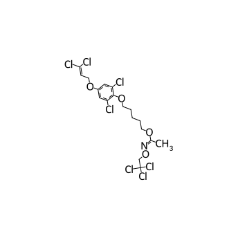 CC(=NOCC(Cl)(Cl)Cl)OCCCCCOc1c(Cl)cc(OCC=C(Cl)Cl)cc1Cl